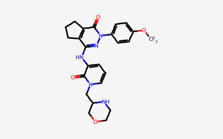 O=c1c(Nc2nn(-c3ccc(OC(F)(F)F)cc3)c(=O)c3c2CCC3)cccn1CC1COCCN1